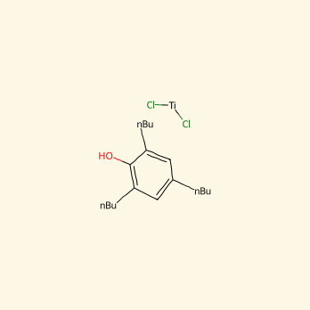 CCCCc1cc(CCCC)c(O)c(CCCC)c1.[Cl][Ti][Cl]